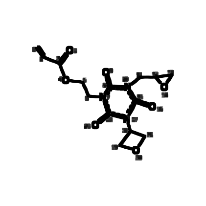 C=CC(=O)OCCn1c(=O)n(CC2CO2)c(=O)n(C2COC2)c1=O